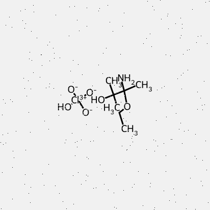 CCOC(C)(N)C(C)(C)O.[O-][Cl+3]([O-])([O-])O